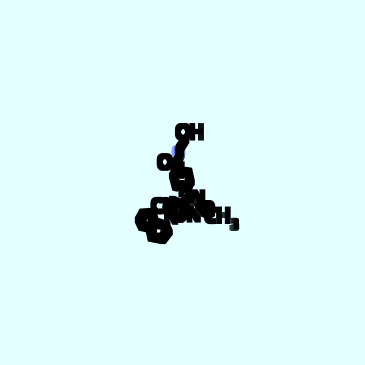 COc1nc2c(c(N3CCN(C(=O)/C=C/CO)CC3)n1)CCN(c1cccc3cccc(C)c13)C2